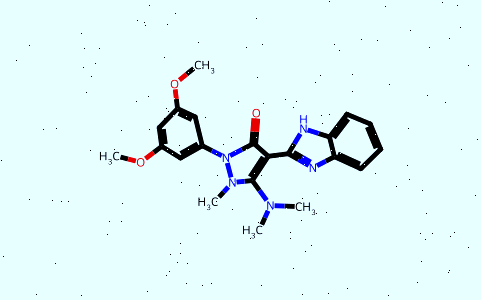 COc1cc(OC)cc(-n2c(=O)c(-c3nc4ccccc4[nH]3)c(N(C)C)n2C)c1